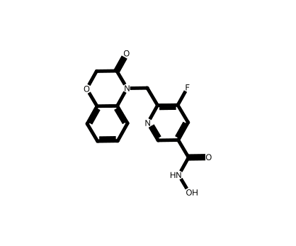 O=C(NO)c1cnc(CN2C(=O)COc3ccccc32)c(F)c1